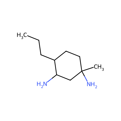 CCCC1CCC(C)(N)CC1N